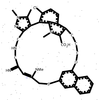 CN/C1=C\C(=N)CNCc2nn(C)c(C)c2-c2c(Cl)ccc3c(c(C(=O)O)n(C)c23)CCCOc2cc(cc3ccccc23)SC1